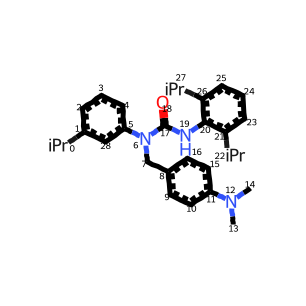 CC(C)c1cccc(N(Cc2ccc(N(C)C)cc2)C(=O)Nc2c(C(C)C)cccc2C(C)C)c1